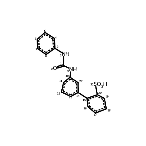 O=C(Nc1ccccc1)Nc1cccc(-c2ccccc2S(=O)(=O)O)c1